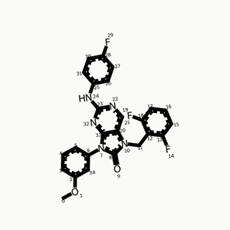 COc1cccc(-n2c(=O)n(Cc3c(F)cccc3F)c3cnc(Nc4ccc(F)cc4)nc32)c1